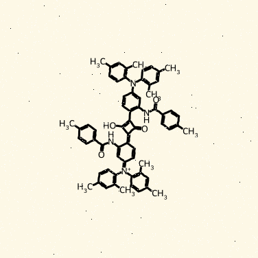 Cc1ccc(C(=O)NC2=CC(=[N+](c3ccc(C)cc3C)c3ccc(C)cc3C)C=C/C2=C2\C(=O)C(c3ccc(N(c4ccc(C)cc4C)c4ccc(C)cc4C)cc3NC(=O)c3ccc(C)cc3)=C2O)cc1